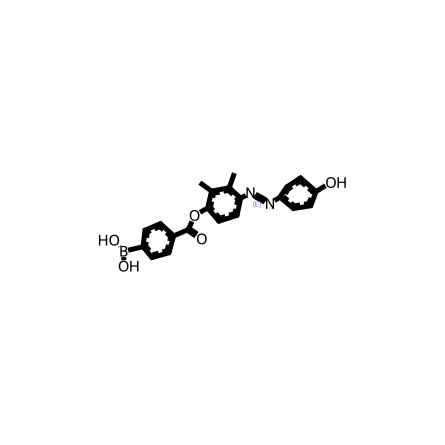 Cc1c(/N=N/c2ccc(O)cc2)ccc(OC(=O)c2ccc(B(O)O)cc2)c1C